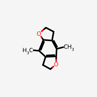 Cc1c2c(c(C)c3c1OCC3)OCC2